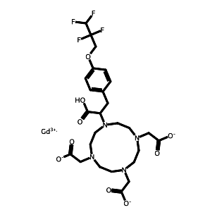 O=C([O-])CN1CCN(CC(=O)[O-])CCN(C(Cc2ccc(OCC(F)(F)C(F)F)cc2)C(=O)O)CCN(CC(=O)[O-])CC1.[Gd+3]